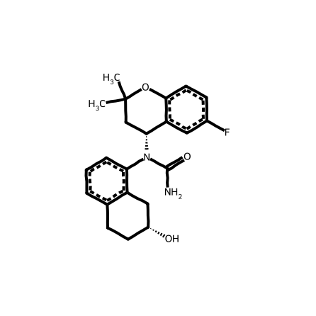 CC1(C)C[C@@H](N(C(N)=O)c2cccc3c2C[C@H](O)CC3)c2cc(F)ccc2O1